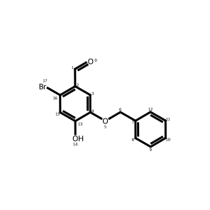 O=Cc1cc(OCc2ccccc2)c(O)cc1Br